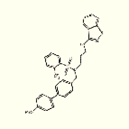 COc1ccc(-c2ccc(CN(CCCNc3nsc4ccccc34)S(=O)(=O)c3ccccc3C(F)(F)F)cc2)cc1